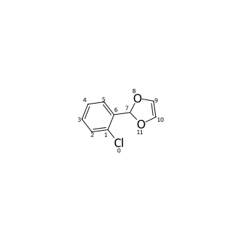 Clc1ccccc1C1OC=CO1